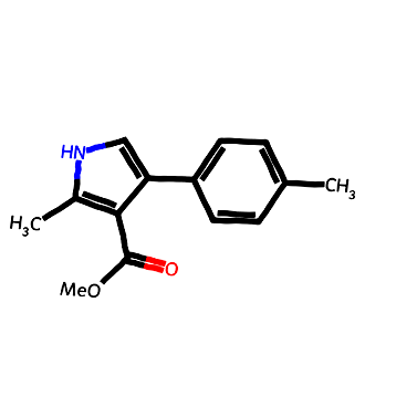 COC(=O)c1c(-c2ccc(C)cc2)c[nH]c1C